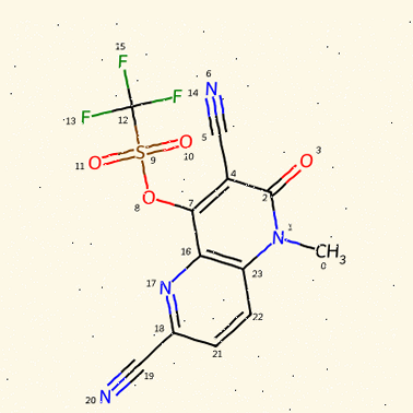 Cn1c(=O)c(C#N)c(OS(=O)(=O)C(F)(F)F)c2nc(C#N)ccc21